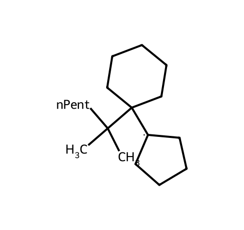 CCCCCC(C)(C)C1([C]2CCCC2)CCCCC1